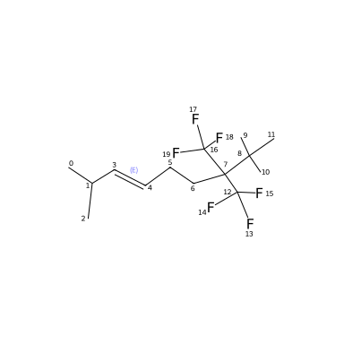 CC(C)/C=C/CCC(C(C)(C)C)(C(F)(F)F)C(F)(F)F